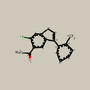 COC(=O)c1cc2c(cc1F)CC=C2c1ccccc1C(F)(F)F